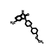 COC[C@H]1CC[C@@H](N2CCC(n3c(=O)[nH]c4ccc(C)cc43)CC2)CC1